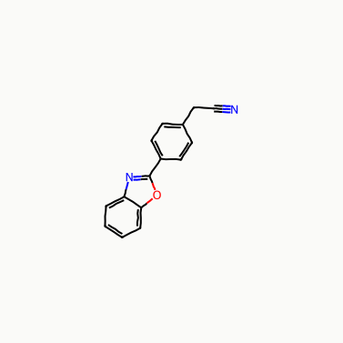 N#CCc1ccc(-c2nc3ccccc3o2)cc1